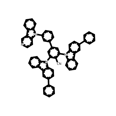 N#Cc1c(-n2c3ccccc3c3cc(-c4ccccc4)ccc32)cc(-c2cccc(-n3c4ccccc4c4cnccc43)c2)cc1-n1c2ccccc2c2cc(-c3ccccc3)ccc21